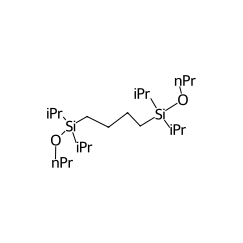 CCCO[Si](CCCC[Si](OCCC)(C(C)C)C(C)C)(C(C)C)C(C)C